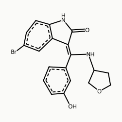 O=C1Nc2ccc(Br)cc2/C1=C(/NC1CCOC1)c1cccc(O)c1